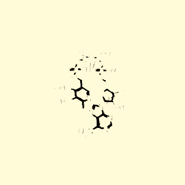 Cc1ncc(COP(=O)(O)OP(=O)(O)OP(=O)(O)OP(=O)(O)OC[C@H]2O[C@@H](n3cnc4c(N)ncnc43)[C@H](O)[C@@H]2O)c(C=O)c1O